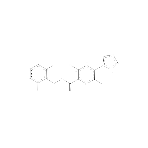 Cc1nc(C(=O)NCc2c(Cl)cccc2Cl)c(N)nc1-c1cnco1